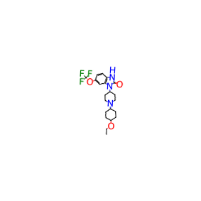 CCO[C@H]1CC[C@@H](N2CCC(n3c(=O)[nH]c4ccc(OC(F)(F)F)cc43)CC2)CC1